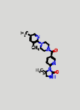 Cc1cnc(N2CCN(C(=O)c3ccc(N4C(=O)NC[C@H]4C)nc3)CC2)c(C)c1